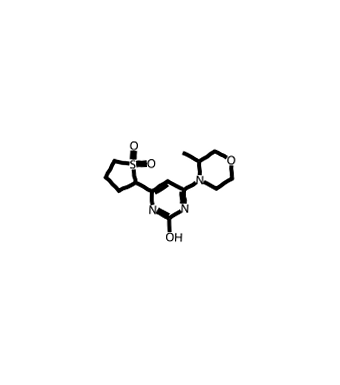 CC1COCCN1c1cc(C2CCCS2(=O)=O)nc(O)n1